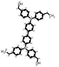 CCc1ccc(N(c2ccc(CO)cc2)c2ccc(-c3ccc(N(c4ccc(CC)cc4)c4ccc(CO)cc4)cc3)cc2)cc1